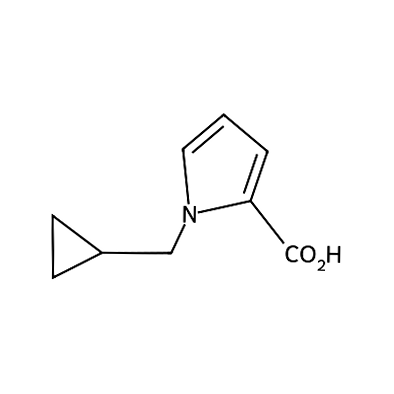 O=C(O)c1cccn1CC1CC1